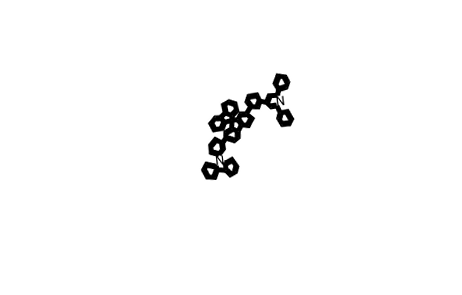 c1ccc(-c2cc(-c3cccc(-c4ccc5c(c4)C4(c6ccccc6-c6ccccc64)c4cc(-c6cccc(-n7c8ccccc8c8ccccc87)c6)ccc4-5)c3)cc(-c3ccccc3)n2)cc1